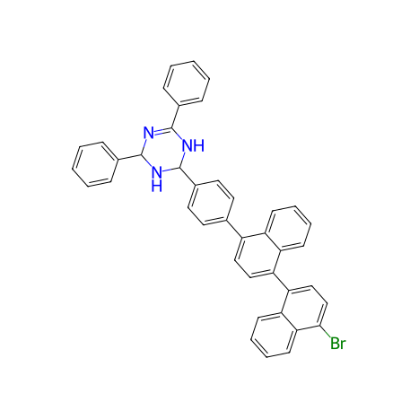 Brc1ccc(-c2ccc(-c3ccc(C4NC(c5ccccc5)=NC(c5ccccc5)N4)cc3)c3ccccc23)c2ccccc12